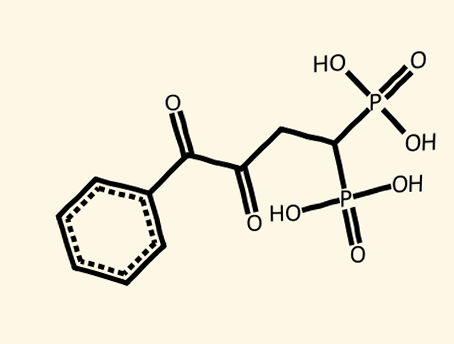 O=C(CC(P(=O)(O)O)P(=O)(O)O)C(=O)c1ccccc1